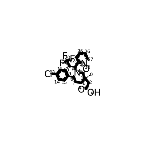 C[C@]1(CC(=O)O)CC[C@@H](c2ccc(Cl)cc2)N([C@@H](CC(F)(F)F)c2ccccn2)C1=O